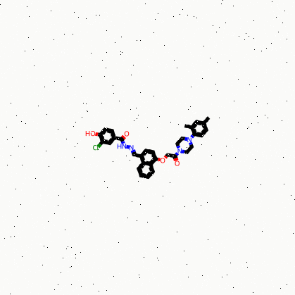 Cc1ccc(N2CCN(C(=O)COc3ccc(/C=N/NC(=O)c4ccc(O)c(Cl)c4)c4ccccc34)CC2)c(C)c1